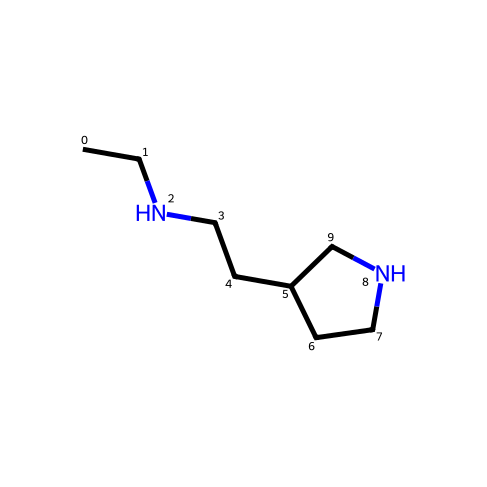 CCNCCC1CCNC1